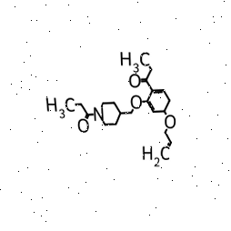 C=CCOC1C=C(OCC2CCN(C(=O)CC)CC2)C(C(=O)CC)=CC1